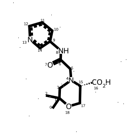 CC1(C)CN(CC(=O)Nc2cccnc2)[C@H](C(=O)O)CO1